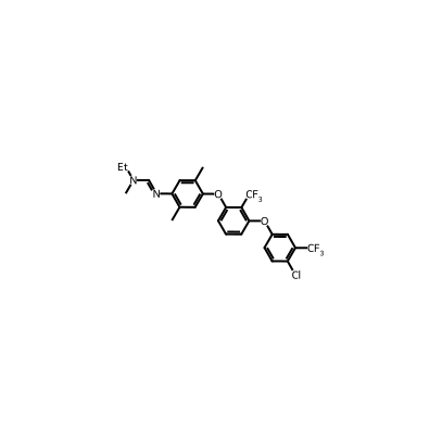 CCN(C)C=Nc1cc(C)c(Oc2cccc(Oc3ccc(Cl)c(C(F)(F)F)c3)c2C(F)(F)F)cc1C